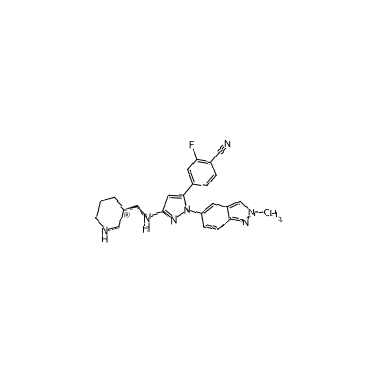 Cn1cc2cc(-n3nc(NC[C@@H]4CCCNC4)cc3-c3ccc(C#N)c(F)c3)ccc2n1